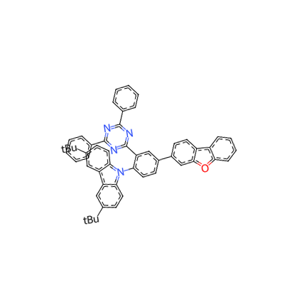 CC(C)(C)c1ccc2c(c1)c1cc(C(C)(C)C)ccc1n2-c1ccc(-c2ccc3c(c2)oc2ccccc23)cc1-c1nc(-c2ccccc2)nc(-c2ccccc2)n1